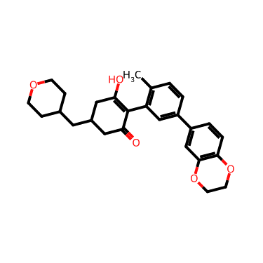 Cc1ccc(-c2ccc3c(c2)OCCO3)cc1C1=C(O)CC(CC2CCOCC2)CC1=O